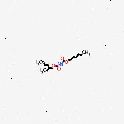 CCCCCCCOC(=O)/N=N/C(=O)OCC(CC)CCCC